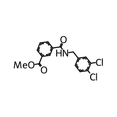 COC(=O)c1cccc(C(=O)NCc2ccc(Cl)c(Cl)c2)c1